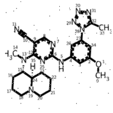 COc1cc(Nc2ncc(C#N)c(N(C)[C@H]3CCCN4CCCC[C@H]34)n2)cc(-n2nnnc2C)c1